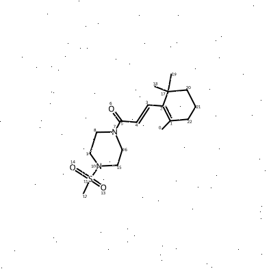 CC1=C(/C=C/C(=O)N2CCN(S(C)(=O)=O)CC2)C(C)(C)CCC1